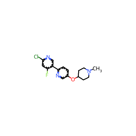 CN1CCC(Oc2ccc(-c3cnc(Cl)cc3F)nc2)CC1